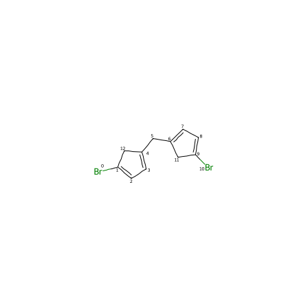 BrC1=CC=C(CC2=CC=C(Br)C2)C1